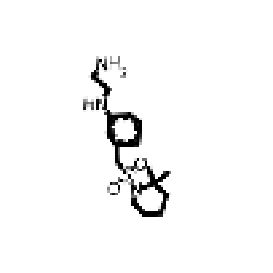 CC1(C)CCCCN1S(=O)(=O)Cc1cccc(NCCN)c1